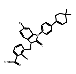 COC(=O)c1cccc(Cn2c(=O)n(-c3ccc(C4=CCC(C)(C)CC4)cc3)c3cc(Cl)ccc32)c1F